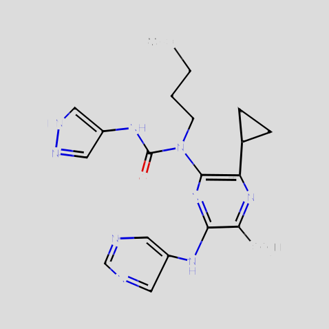 COCCCN(C(=O)Nc1cn[nH]c1)c1nc(Nc2cncnc2)c(C(=O)O)nc1C1CC1